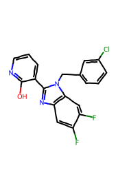 Oc1ncccc1-c1nc2cc(F)c(F)cc2n1Cc1cccc(Cl)c1